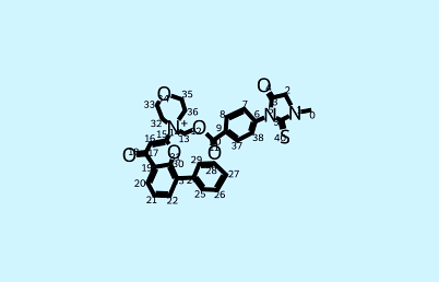 CN1CC(=O)N(c2ccc(C(=O)OC[N+]3(c4cc(=O)c5cccc(-c6ccccc6)c5o4)CCOCC3)cc2)C1=S